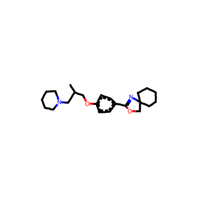 CC(COc1ccc(C2=NC3(CCCCC3)CO2)cc1)CN1CCCCC1